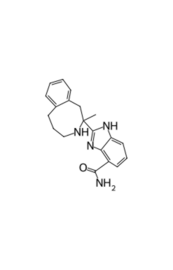 CC1(c2nc3c(C(N)=O)cccc3[nH]2)Cc2ccccc2CCCN1